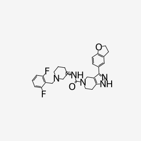 O=C(N[C@@H]1CCCN(Cc2c(F)cccc2F)C1)N1CCc2[nH]nc(-c3ccc4c(c3)CCO4)c2C1